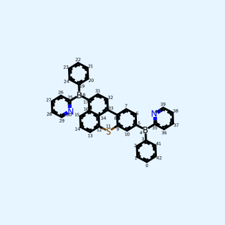 c1ccc(B(c2ccc3c(c2)Sc2cccc4c(B(c5ccccc5)c5ccccn5)ccc-3c24)c2ccccn2)cc1